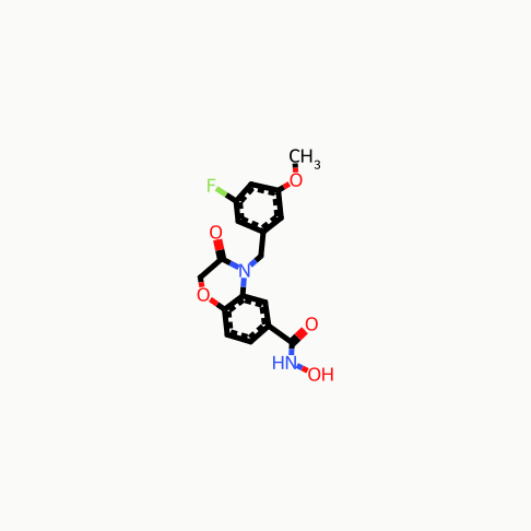 COc1cc(F)cc(CN2C(=O)COc3ccc(C(=O)NO)cc32)c1